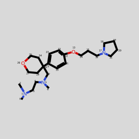 CN(C)CCN(C)CC1(c2ccc(OCCCN3CCCC3)cc2)CCOCC1